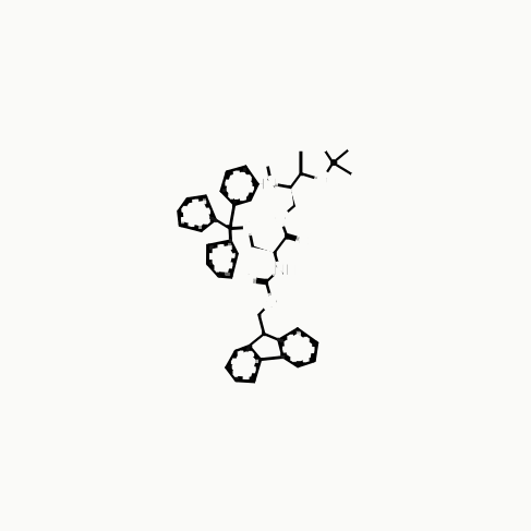 CN[C@H](COC(=O)[C@H](CSC(c1ccccc1)(c1ccccc1)c1ccccc1)NC(=O)OCC1c2ccccc2-c2ccccc21)C(C)OC(C)(C)C